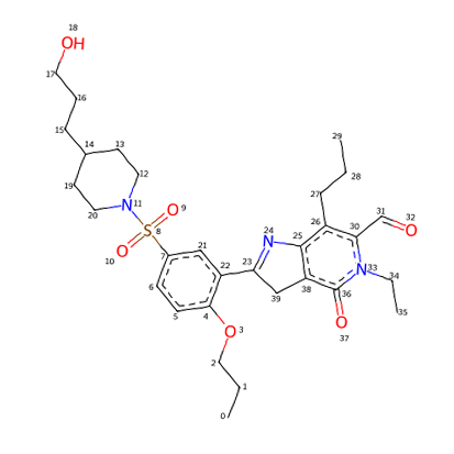 CCCOc1ccc(S(=O)(=O)N2CCC(CCCO)CC2)cc1C1=Nc2c(CCC)c(C=O)n(CC)c(=O)c2C1